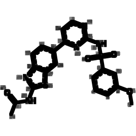 COc1cccc(S(=O)(=O)Nc2nccc(-c3ccc4nc(NC(C)=O)sc4c3)n2)c1